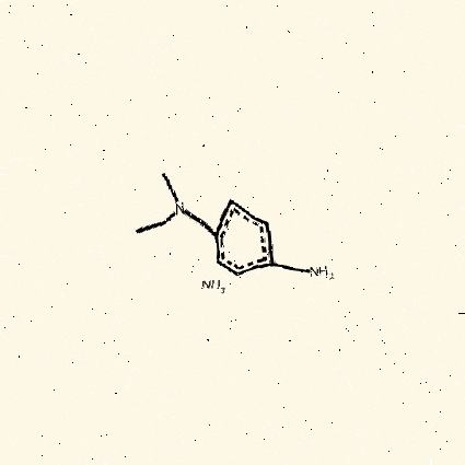 CN(C)c1ccc(N)cc1.N